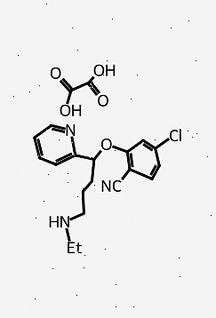 CCNCCCC(Oc1cc(Cl)ccc1C#N)c1ccccn1.O=C(O)C(=O)O